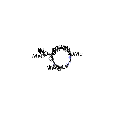 CO[C@H]1C[C@@H]2CC[C@@H](C)[C@@](O)(O2)C(=O)C(=O)N2CCCC[C@H]2C(=O)O[C@H]([C@H](C)C[C@@H]2CCC(n3cnnn3)[C@H](OC)C2)CC(=O)[C@H](C)/C=C(\C)[C@@H](O)[C@@H](OC)C(=O)[C@H](C)C[C@H](C)/C=C/C=C/C=C/1C